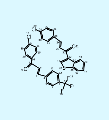 O=C(C=Cc1ccc(C(F)(F)F)cc1)c1ccc(Cl)cc1.O=C(C=Cc1ccc(Cl)cc1)c1csc2ccccc12